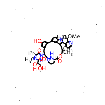 CCn1c(-c2cccnc2[C@H](C)OC)c2c3cc(ccc31)-c1cc(O)cc(c1)C[C@H](NC(=O)[C@H](C(C)C)N(C)C(=O)C(O)CO)C(=O)N1CCC[C@H](N1)C(=O)OCC(C)(C)C2